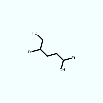 CCC(O)CCC(CO)C(C)C